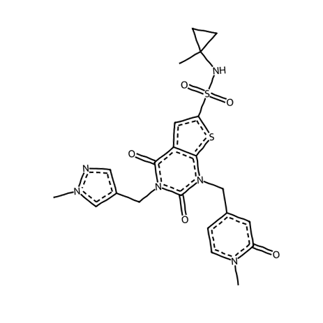 Cn1cc(Cn2c(=O)c3cc(S(=O)(=O)NC4(C)CC4)sc3n(Cc3ccn(C)c(=O)c3)c2=O)cn1